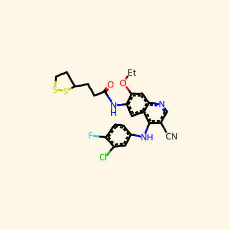 CCOc1cc2ncc(C#N)c(Nc3ccc(F)c(Cl)c3)c2cc1NC(=O)CCC1CCSS1